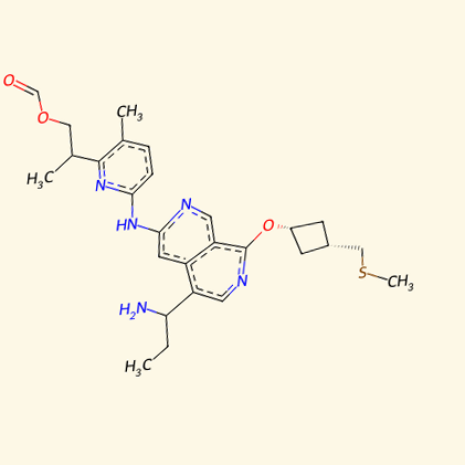 CCC(N)c1cnc(O[C@H]2C[C@@H](CSC)C2)c2cnc(Nc3ccc(C)c(C(C)COC=O)n3)cc12